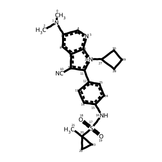 CN(C)c1cnc2c(c1)c(C#N)c(-c1ccc(NS(=O)(=O)C3(C)CC3)cc1)n2C1CCC1